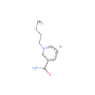 CCCC[n+]1cccc(C(N)=O)c1.[Br-]